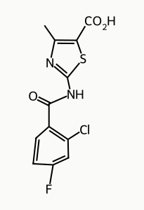 Cc1nc(NC(=O)c2ccc(F)cc2Cl)sc1C(=O)O